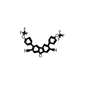 N#Cc1cc2c(cc1-c1ccc(OC(F)(F)F)cc1)-c1cc(-c3ccc(OC(F)(F)F)cc3)c(C#N)cc1C2=O